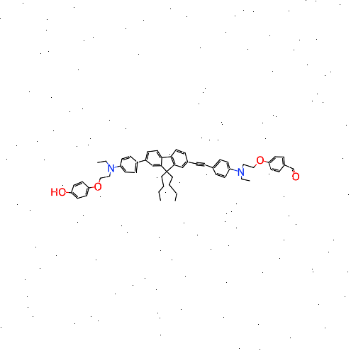 CCCCC1(CCCC)c2cc(C#Cc3ccc(N(CC)CCOc4ccc(C=O)cc4)cc3)ccc2-c2ccc(-c3ccc(N(CC)CCOc4ccc(O)cc4)cc3)cc21